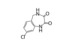 O=C1NCc2ccc(Cl)cc2NC1=O